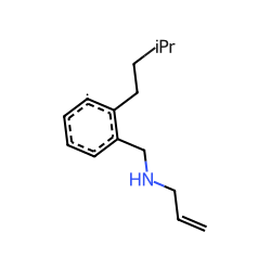 C=CCNCc1ccc[c]c1CCC(C)C